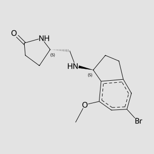 COc1cc(Br)cc2c1[C@@H](NC[C@@H]1CCC(=O)N1)CC2